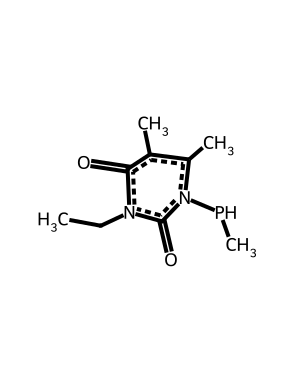 CCn1c(=O)c(C)c(C)n(PC)c1=O